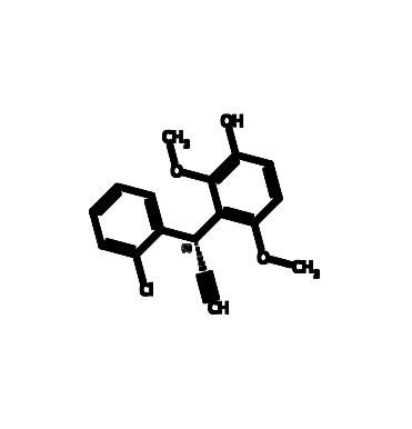 C#C[C@H](c1ccccc1Cl)c1c(OC)ccc(O)c1OC